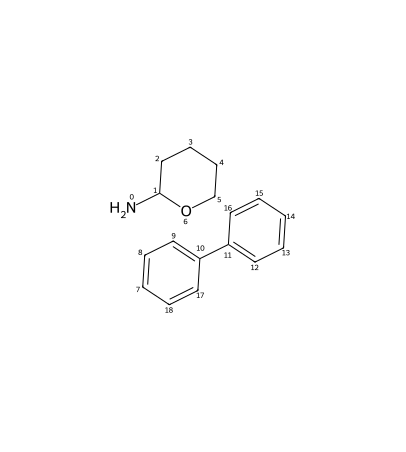 NC1CCCCO1.c1ccc(-c2ccccc2)cc1